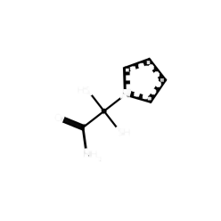 NC(=O)C(S)(S)n1cccc1